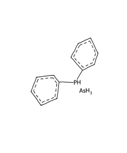 [AsH3].c1ccc(Pc2ccccc2)cc1